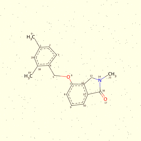 Cc1ccc(COc2cccc3c2CN(C)C3=O)c(C)c1